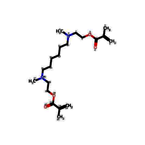 C=C(C)C(=O)OCCN(C)CCCCCCN(C)CCOC(=O)C(=C)C